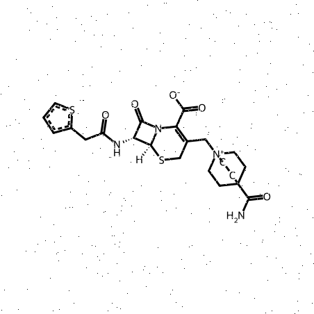 NC(=O)C12CC[N+](CC3=C(C(=O)[O-])N4C(=O)[C@@H](NC(=O)Cc5cccs5)[C@@H]4SC3)(CC1)CC2